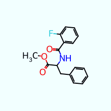 COC(=O)C(Cc1ccccc1)NC(=O)c1ccccc1F